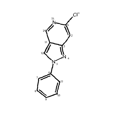 Clc1cc2nn(-c3ccccc3)cc2cn1